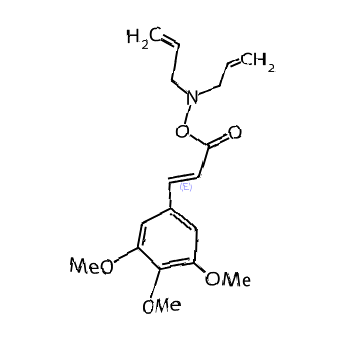 C=CCN(CC=C)OC(=O)/C=C/c1cc(OC)c(OC)c(OC)c1